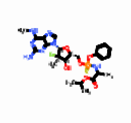 CNc1nc(N)nc2c1ncn2[C@@H]1O[C@H](COP(=S)(NC(C)C(=O)OC(C)C)Oc2ccccc2)[C@@H](O)[C@@]1(C)F